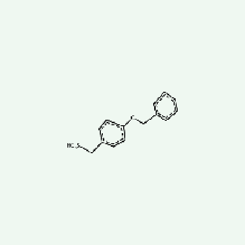 O=S(=O)(O)Cc1ccc(OCc2ccccc2)cc1